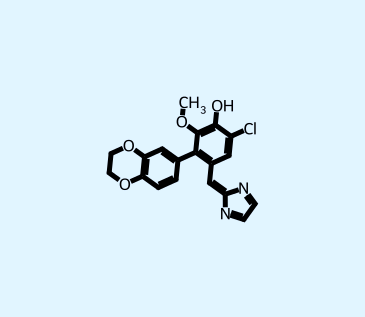 COc1c(O)c(Cl)cc(C=C2N=CC=N2)c1-c1ccc2c(c1)OCCO2